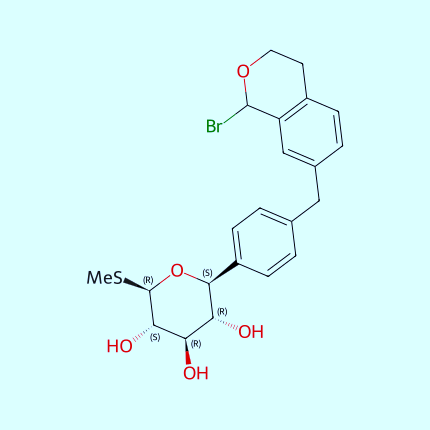 CS[C@H]1O[C@@H](c2ccc(Cc3ccc4c(c3)C(Br)OCC4)cc2)[C@H](O)[C@@H](O)[C@@H]1O